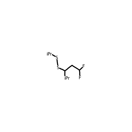 CC(C)SSC(CC(F)F)C(C)C